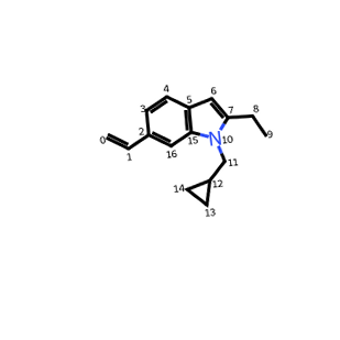 C=Cc1ccc2cc(CC)n(CC3CC3)c2c1